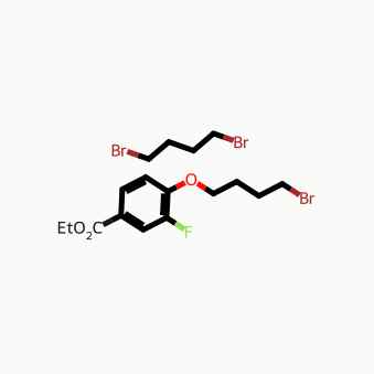 BrCCCCBr.CCOC(=O)c1ccc(OCCCCBr)c(F)c1